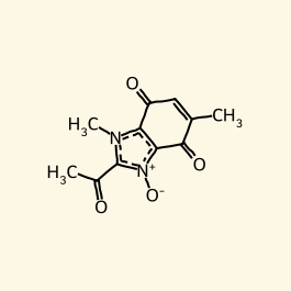 CC(=O)c1n(C)c2c([n+]1[O-])C(=O)C(C)=CC2=O